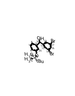 CC(C)(C)[Si](C)(C)Oc1cccc(C(O)c2cc(Br)cc(Br)c2)c1